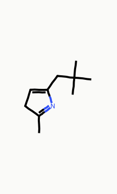 CC1=NC(CC(C)(C)C)=CC1